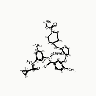 CON(C(=O)c1ccc(C)c(Oc2ccnc(CC3CCN(C(=O)OC(C)(C)C)CC3)c2)c1)c1cc(NC(=O)C2CC2)cc(C(C)(C)C)c1